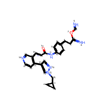 N=COC(=N)CCc1ccc(NC(=O)/C=C/c2cnccc2-c2cnn(CC3CC3)c2)cc1